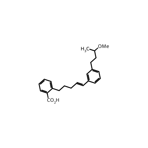 COC(C)CCc1cccc(C=CCCCc2ccccc2C(=O)O)c1